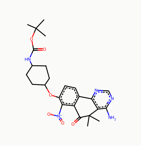 CC(C)(C)OC(=O)NC1CCC(Oc2ccc3c(c2[N+](=O)[O-])C(=O)C(C)(C)c2c(N)ncnc2-3)CC1